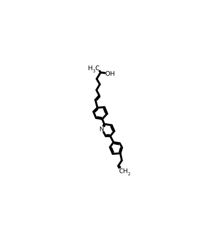 C=CCc1ccc(-c2ccc(-c3ccc(/C=C/CCCC(C)O)cc3)nc2)cc1